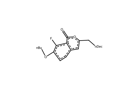 CCCCCCCCCCCc1cc2ccc(OCCCC)c(F)c2c(=O)o1